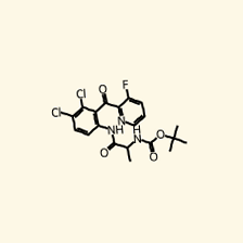 CC(NC(=O)OC(C)(C)C)C(=O)Nc1ccc(Cl)c(Cl)c1C(=O)c1ncccc1F